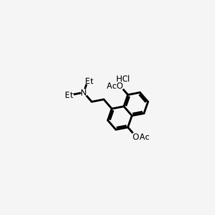 CCN(CC)CCc1ccc(OC(C)=O)c2cccc(OC(C)=O)c12.Cl